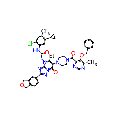 CCc1c(N2CCN(C(=O)c3ncnc(C)c3OCc3ccccc3)CC2)c(=O)n2nc(-c3ccc4c(c3)COC4)nc2n1CC(=O)Nc1cc(C2CC2)c(C(F)(F)F)cc1Cl